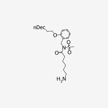 CCCCCCCCCCCCOc1ccccc1CN(C(=O)CCCCCN)S(C)(=O)=O